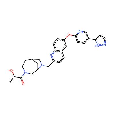 C[C@@H](O)C(=O)N1CCC2CC(C1)N(Cc1ccc3cc(Oc4ccc(-c5ccn[nH]5)cn4)ccc3n1)C2